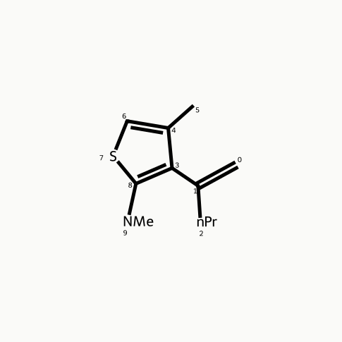 C=C(CCC)c1c(C)csc1NC